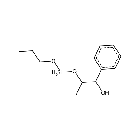 CCCO[SiH2]OC(C)C(O)c1ccccc1